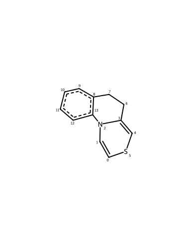 C1=CN2C(=CS1)CCc1ccccc12